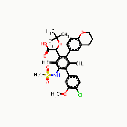 COc1cc(-c2c(C)c(-c3ccc4c(c3)CCCO4)c(C(OC(C)(C)C)C(=O)O)c(C)c2NS(C)(=O)=O)ccc1Cl